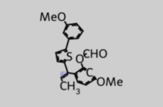 C/C=C(/c1ccc(-c2cccc(OC)c2)s1)c1ccc(OC)cc1OC=O